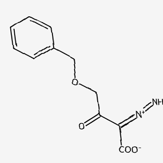 N=[N+]=C(C(=O)[O-])C(=O)COCc1ccccc1